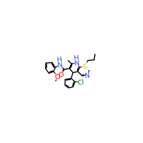 CCCSC1=C(/C=N\C)C(c2ccccc2Cl)C(C(=O)Nc2ccccc2OC)=C(C)N1